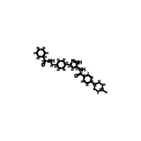 CN1CCN(c2ccc(C(=O)Nc3cc(-c4ccc(CNC(=O)c5ccccc5)cc4)n[nH]3)cc2)CC1